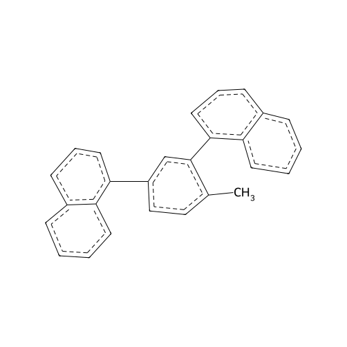 Cc1ccc(-c2cccc3ccccc23)cc1-c1cccc2ccccc12